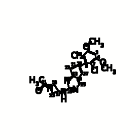 COc1cc(OC)c(Cl)c(-c2ccc3nc(NC4CN(C(C)=O)C4)ncc3c2)c1Cl